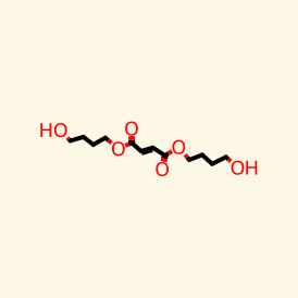 O=C(C=CC(=O)OCCCCO)OCCCCO